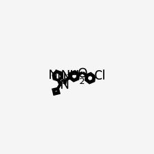 N[N+]12C=CN=CC1=C(C1=CC=C1)N=C2c1ccc(Oc2cccc(Cl)c2)cc1